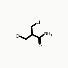 NC(=O)C(CCl)CCl